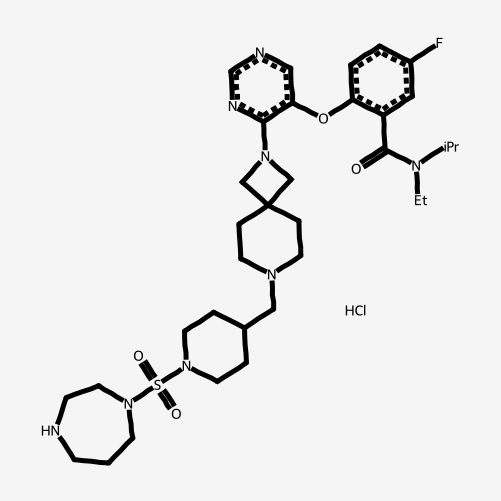 CCN(C(=O)c1cc(F)ccc1Oc1cncnc1N1CC2(CCN(CC3CCN(S(=O)(=O)N4CCCNCC4)CC3)CC2)C1)C(C)C.Cl